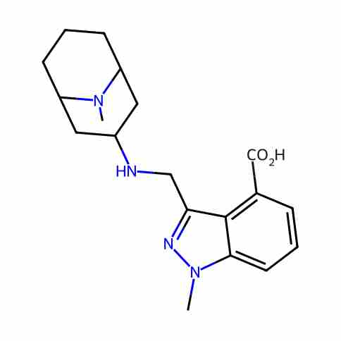 CN1C2CCCC1CC(NCc1nn(C)c3cccc(C(=O)O)c13)C2